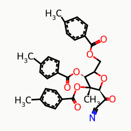 Cc1ccc(C(=O)OCC2O[C@@H](C(=O)C#N)[C@](C)(OC(=O)c3ccc(C)cc3)[C@@H]2OC(=O)c2ccc(C)cc2)cc1